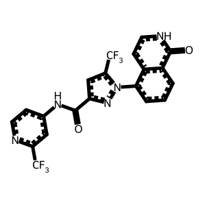 O=C(Nc1ccnc(C(F)(F)F)c1)c1cc(C(F)(F)F)n(-c2cccc3c(=O)[nH]ccc23)n1